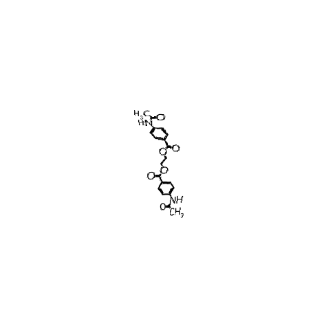 CC(=O)Nc1ccc(C(=O)OCCOC(=O)c2ccc(NC(C)=O)cc2)cc1